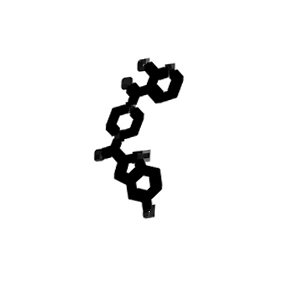 O=C(c1cc2cc(Cl)ccc2[nH]1)N1CCN(C(=O)c2cccnc2Cl)CC1